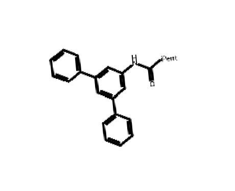 CCCC(C)C(=O)Nc1cc(-c2ccccc2)cc(-c2ccccc2)c1